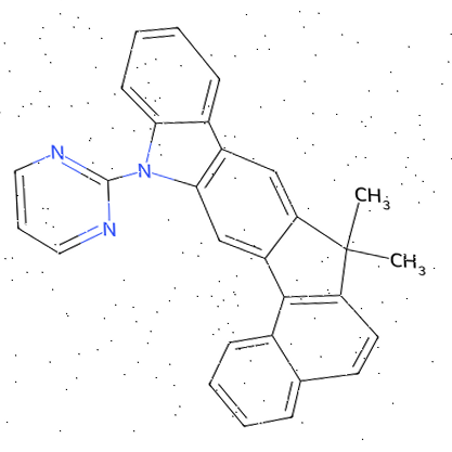 CC1(C)c2cc3c4ccccc4n(-c4ncccn4)c3cc2-c2c1ccc1ccccc21